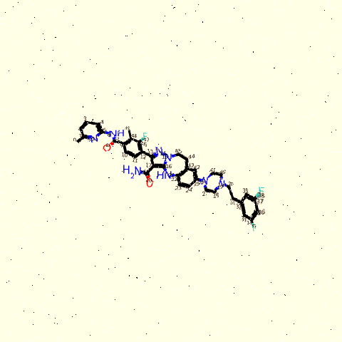 Cc1cccc(NC(=O)c2ccc(-c3nn4c(c3C(N)=O)Nc3ccc(N5CCN(CCc6cc(F)cc(F)c6)CC5)cc3CC4)c(F)c2C)n1